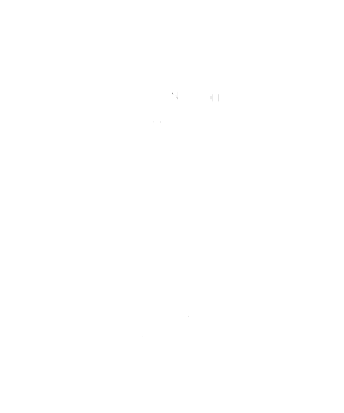 CC(C)CCCCCCON(O)O